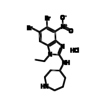 CCn1c(NC2CCCNCC2)nc2c([N+](=O)[O-])c(Br)c(Br)cc21.Cl